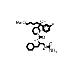 COCCCCC(O)(c1cccc(F)c1)C1CCCN(C(=O)NC(CC2CCCCC2)CN(C)C(N)=O)C1